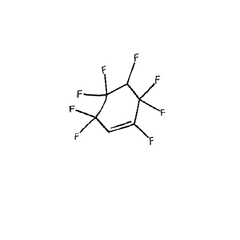 FC1=CC(F)(F)C(F)(F)C(F)C1(F)F